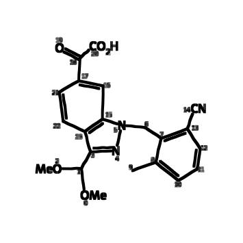 COC(OC)c1nn(Cc2c(C)cccc2C#N)c2cc(C(=O)C(=O)O)ccc12